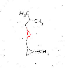 CC(C)COCC1CC1C